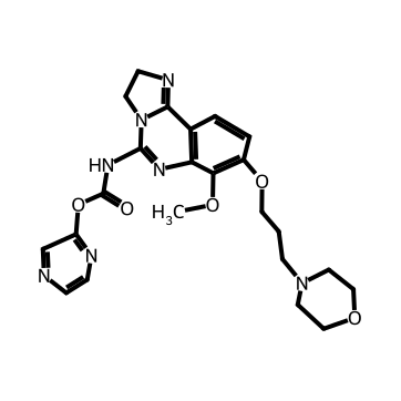 COc1c(OCCCN2CCOCC2)ccc2c1N=C(NC(=O)Oc1cnccn1)N1CCN=C21